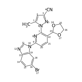 Cc1cc(C#N)nn1-c1nc(-n2cnc3ccc(Br)cc32)ccc1C1OCCO1